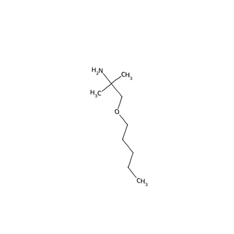 CCCCCOCC(C)(C)N